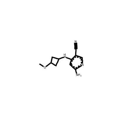 COC1CC(Nc2cc(N)ncc2C#N)C1